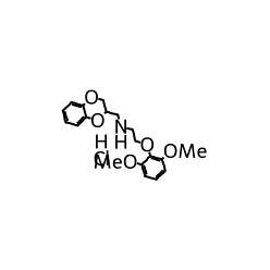 COc1cccc(OC)c1OCCNCC1COc2ccccc2O1.Cl